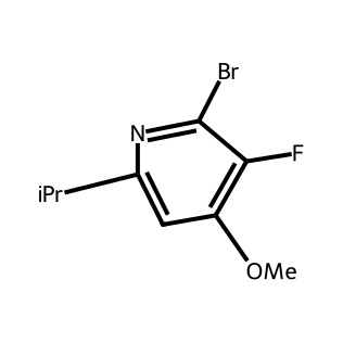 COc1cc(C(C)C)nc(Br)c1F